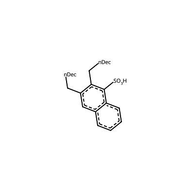 CCCCCCCCCCCc1cc2ccccc2c(S(=O)(=O)O)c1CCCCCCCCCCC